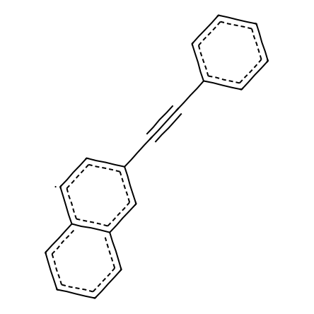 C(#Cc1c[c]c2ccccc2c1)c1ccccc1